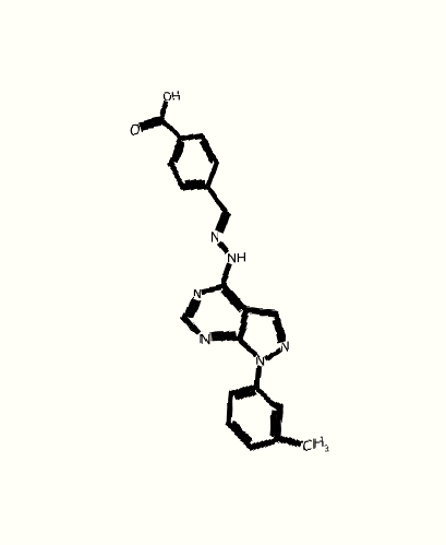 Cc1cccc(-n2ncc3c(N/N=C/c4ccc(C(=O)O)cc4)ncnc32)c1